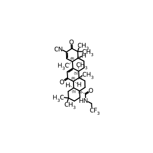 [C-]#[N+]C1=C[C@]2(C)C3=CC(=O)[C@@H]4[C@@H]5CC(C)(C)CC[C@]5(C(=O)NCC(F)(F)F)CC[C@@]4(C)[C@]3(C)CC[C@H]2C(C)(C)C1=O